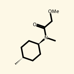 COCC(=O)N(C)[C@H]1CC[C@H](C)CC1